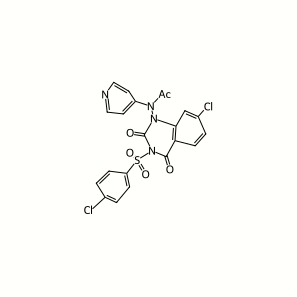 CC(=O)N(c1ccncc1)n1c(=O)n(S(=O)(=O)c2ccc(Cl)cc2)c(=O)c2ccc(Cl)cc21